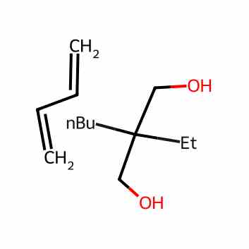 C=CC=C.CCCCC(CC)(CO)CO